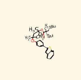 CC(C)(C)CC(C)(C(=O)OC(C)(C)CC(C)(C)Oc1ccc(-c2cc3ccccc3s2)cc1)C(C)(C)C